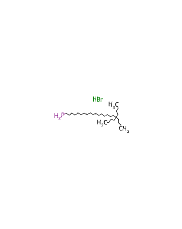 Br.CCCCC(CCCC)(CCCC)CCCCCCCCCCCCCCCCCP